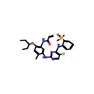 C=CC(=O)Nc1cc(Nc2ncc(Cl)c(Nc3ccccc3P(C)(C)=O)n2)c(C)cc1OC(CC)CC